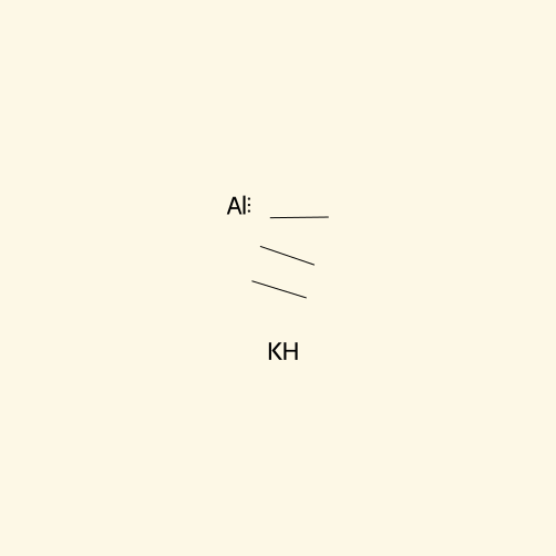 CC.CC.CC.[Al].[KH]